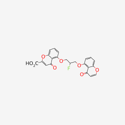 O=C(O)c1cc(=O)c2c(OCC(F)COc3cccc4occc(=O)c34)cccc2o1